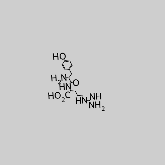 N=C(N)NCCC[C@H](NC(=O)C(N)Cc1ccc(O)cc1)C(=O)O